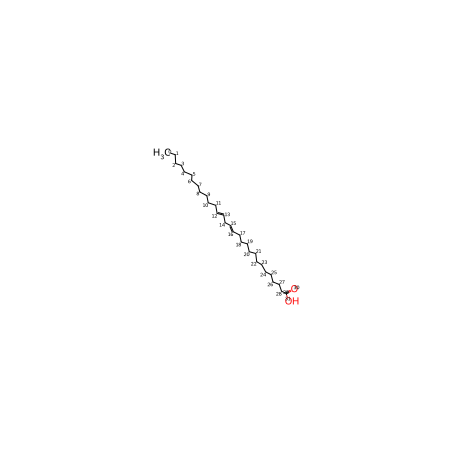 CCCCCCCCCCCCC=CCC=CCCCCCCCCCCCCC(=O)O